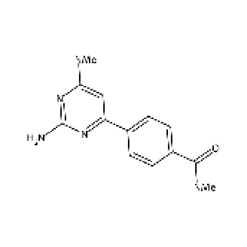 CNC(=O)c1ccc(-c2cc(NC)nc(N)n2)cc1